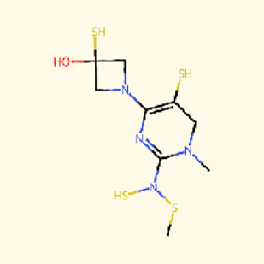 CSN(S)C1=NC(N2CC(O)(S)C2)=C(S)CN1C